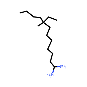 CCCCC(C)(CC)CCCCCCC(N)N